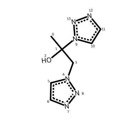 CC(O)(Cn1ccnn1)n1ccnn1